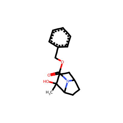 CC1(O)CCC2CCC1N2C(=O)OCc1ccccc1